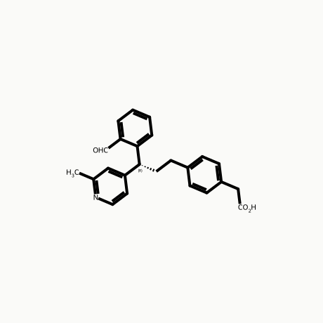 Cc1cc([C@@H](CCc2ccc(CC(=O)O)cc2)c2ccccc2C=O)ccn1